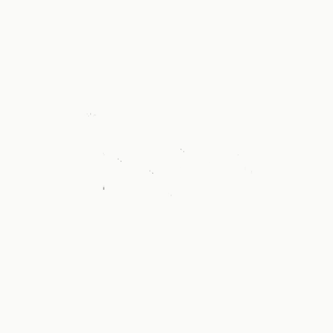 CCc1nc(N2CCN(C(=O)CCOC)C(C(C)C)C2)c(C#N)c2c1COC(C)(C)C2